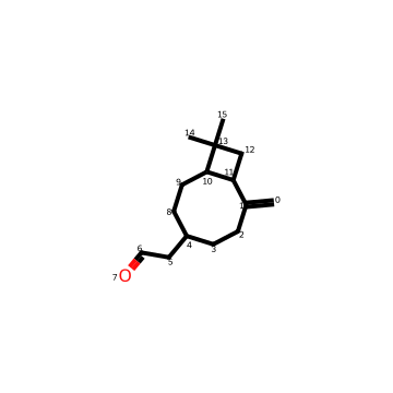 C=C1CCC(CC=O)CCC2C1CC2(C)C